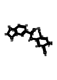 O=C(Oc1nc(=O)[nH]cc1F)c1ccc2c(c1)OCO2